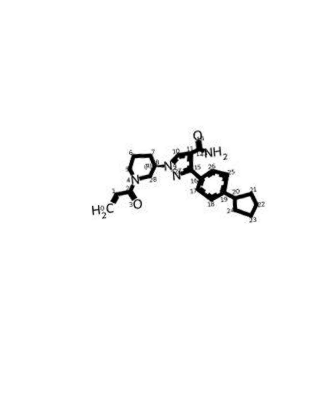 C=CC(=O)N1CCC[C@@H](n2cc(C(N)=O)c(-c3ccc(C4CCCC4)cc3)n2)C1